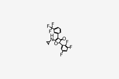 O=C1C(c2cccc(C(F)(F)F)c2)=C(NC2CC2)OC1c1cc(F)cc(F)c1F